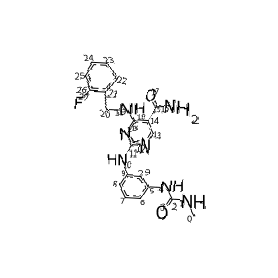 CNC(=O)Nc1cccc(Nc2ncc(C(N)=O)c(NCc3ccccc3F)n2)c1